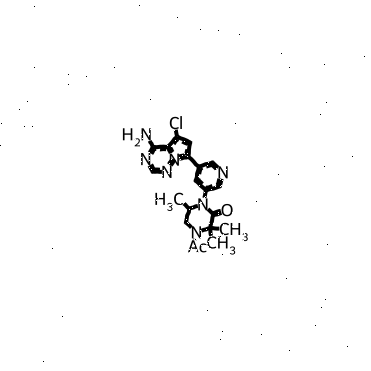 CC(=O)N1CC(C)N(c2cncc(-c3cc(Cl)c4c(N)ncnn34)c2)C(=O)C1(C)C